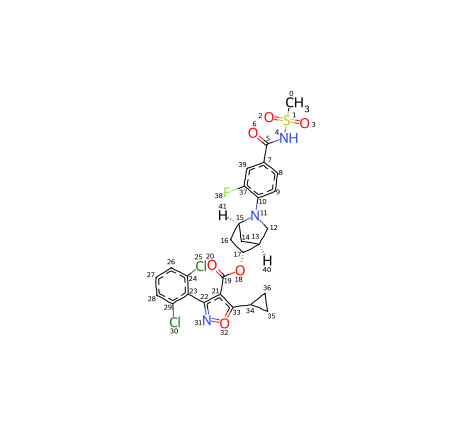 CS(=O)(=O)NC(=O)c1ccc(N2C[C@@H]3C[C@H]2C[C@H]3OC(=O)c2c(-c3c(Cl)cccc3Cl)noc2C2CC2)c(F)c1